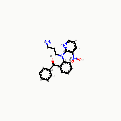 NCCCN(c1ccccc1C(=O)c1ccccc1)c1ncccc1[N+](=O)[O-]